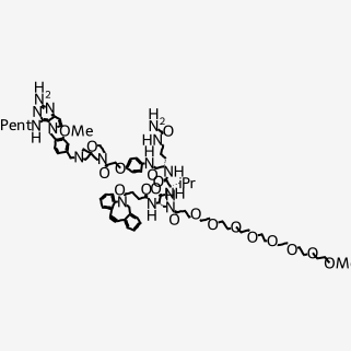 CCCCCNc1nc(N)nc2ccn(Cc3ccc(CN4CC5(C4)CN(C(=O)COc4ccc(NC(=O)[C@H](CCCNC(N)=O)NC(=O)[C@@H](NC(=O)[C@H](CNC(=O)CCOCCOCCOCCOCCOCCOCCOCCOC)NC(=O)CCC(=O)N6Cc7ccccc7C#Cc7ccccc76)C(C)C)cc4)CCO5)cc3OC)c12